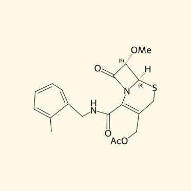 CO[C@H]1C(=O)N2C(C(=O)NCc3ccccc3C)=C(COC(C)=O)CS[C@H]12